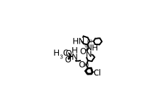 COC(=O)NCCO[C@@H](c1cccc(Cl)c1)C1CCCN(C(=O)N[C@@H]2CNCC[C@H]2C2CCCCC2)C1